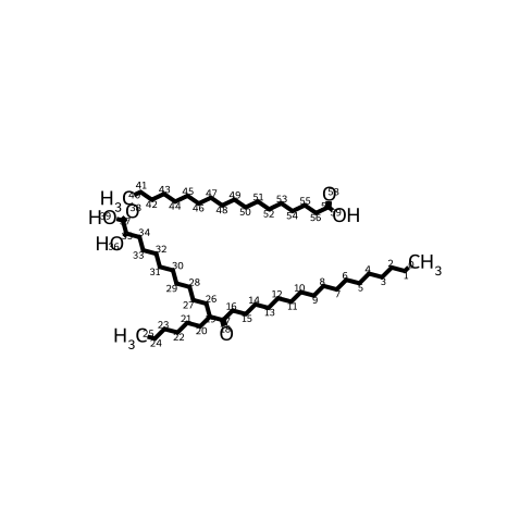 CCCCCCCCCCCCCCCCCC(=O)C(CCCCCC)CCCCCCCCCC(O)C(=O)O.CCCCCCCCCCCCCCCCCC(=O)O